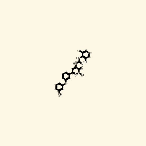 CCn1nc(-c2cccc(Sc3cccc(O)c3)c2)cc(NC(=O)Nc2c(Cl)cncc2Cl)c1=O